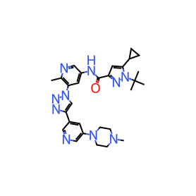 Cc1ncc(NC(=O)c2cc(C3CC3)n(C(C)(C)C)n2)cc1-n1cc(-c2cncc(N3CCN(C)CC3)c2)nn1